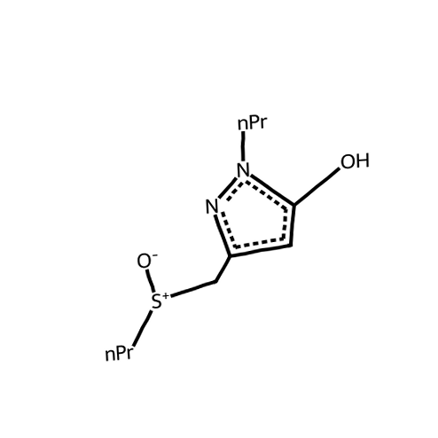 CCCn1nc(C[S+]([O-])CCC)cc1O